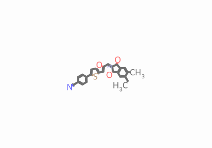 CCc1cc2c(cc1C)C(=O)/C(=C/c1cc3sc(-c4ccc(C#N)cc4)cc3o1)C2=O